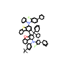 CC(C)(C)c1ccc(N(c2ccc(-c3ccccc3)cc2F)c2cc3c(c4oc5ccccc5c24)-c2c(cc(N(c4ccccc4)c4ccc(-c5ccccc5)cc4F)c4sc5ccccc5c24)C3(c2ccccc2)c2ccccc2)cc1